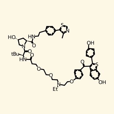 CCN(CCOCCOCCC(=O)N[C@H](C(=O)N1C[C@H](O)C[C@H]1C(=O)NCCc1ccc(-c2scnc2C)cc1)C(C)(C)C)CCOc1ccc(C(=O)c2c(-c3ccc(O)cc3)sc3cc(O)ccc23)cc1